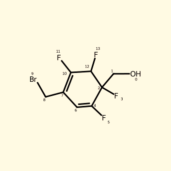 OCC1(F)C(F)=CC(CBr)=C(F)C1F